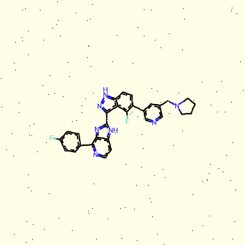 Fc1ccc(-c2nccc3[nH]c(-c4n[nH]c5ccc(-c6cncc(CN7CCCC7)c6)c(F)c45)nc23)cc1